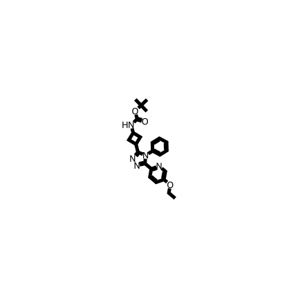 CCOc1ccc(-c2nnc(C3CC(NC(=O)OC(C)(C)C)C3)n2-c2ccccc2)nc1